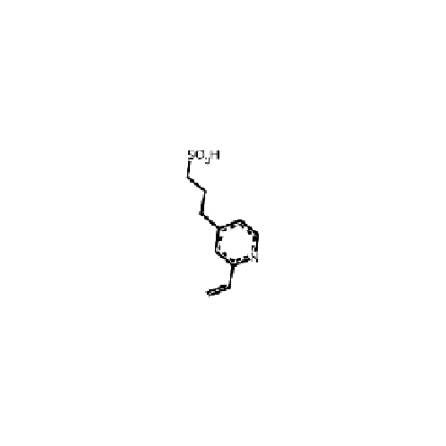 C=Cc1cc(CCCS(=O)(=O)O)ccn1